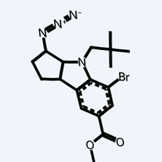 COC(=O)c1cc(Br)c2c(c1)C1CCC(N=[N+]=[N-])C1N2CC(C)(C)C